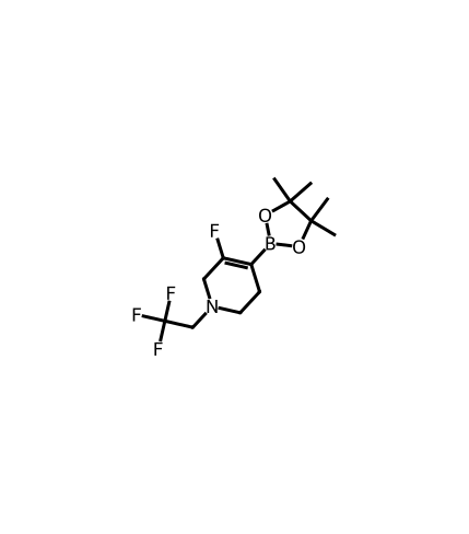 CC1(C)OB(C2=C(F)CN(CC(F)(F)F)CC2)OC1(C)C